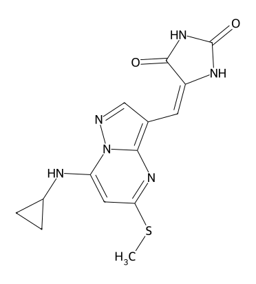 CSc1cc(NC2CC2)n2ncc(/C=C3/NC(=O)NC3=O)c2n1